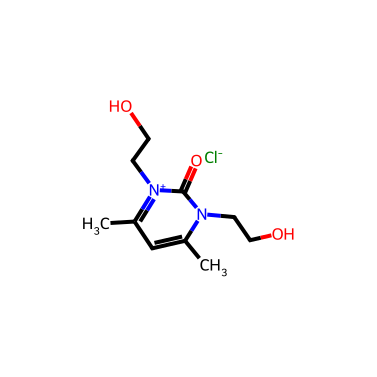 Cc1cc(C)[n+](CCO)c(=O)n1CCO.[Cl-]